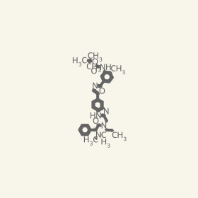 CCCN(Cc1nc2cc(-c3cnc(-c4ccc(C)c(NC(=O)OC(C)(C)C)c4)o3)ccc2[nH]1)C(=O)[C@@H](c1ccccc1)N(C)C